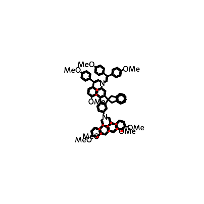 COc1ccc(C(=CN(C=C(c2ccc(OC)cc2)c2ccc(OC)cc2)c2ccc3c(c2)C(Cc2ccccc2)(Cc2ccccc2)c2cc(N(C=C(c4ccc(OC)cc4)c4ccc(OC)cc4)C=C(c4ccc(OC)cc4)c4ccc(OC)cc4)ccc2-3)c2ccc(OC)cc2)cc1